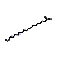 C/C=C/C/C=C/C/C=C/CCCCCCCCC(=O)O